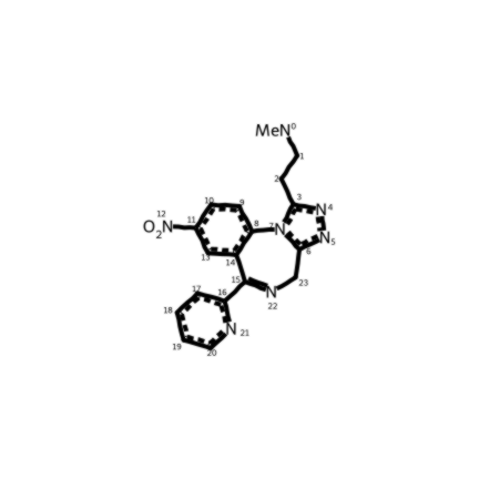 CNCCc1nnc2n1-c1ccc([N+](=O)[O-])cc1C(c1ccccn1)=NC2